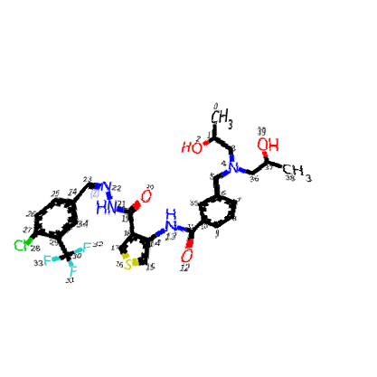 CC(O)CN(Cc1cccc(C(=O)Nc2cscc2C(=O)N/N=C\c2ccc(Cl)c(C(F)(F)F)c2)c1)CC(C)O